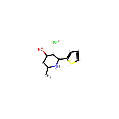 CC1CC(O)CC(c2cccs2)N1.Cl